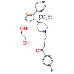 CCOC(=O)C1(c2ccsc2-c2ccccc2)CCN(CCCC(=O)c2ccc(F)cc2)CC1.OCCO